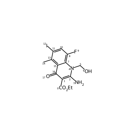 CCOC(=O)c1c(N)n(CO)c2c(F)cc(I)c(C)c2c1=O